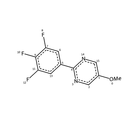 COc1cnc(-c2cc(F)c(F)c(F)c2)nc1